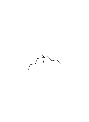 CCCC[P](C)(C)CCCC